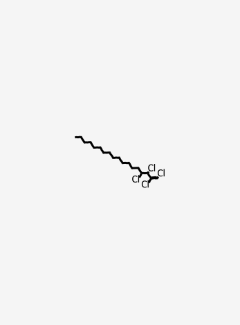 CCCCCCCCCCCCCCC(Cl)C(Cl)/C(Cl)=C\Cl